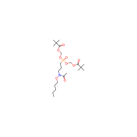 CCCCCON(CCCP(=O)(OCOC(=O)C(C)(C)C)OCOC(=O)C(C)(C)C)C(C)=O